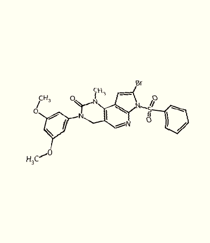 COc1cc(OC)cc(N2Cc3cnc4c(cc(Br)n4S(=O)(=O)c4ccccc4)c3N(C)C2=O)c1